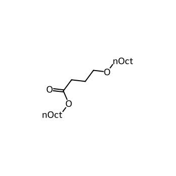 CCCCCCCCOCCCC(=O)OCCCCCCCC